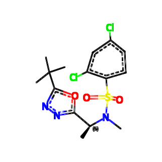 C[C@@H](c1nnc(C(C)(C)C)o1)N(C)S(=O)(=O)c1ccc(Cl)cc1Cl